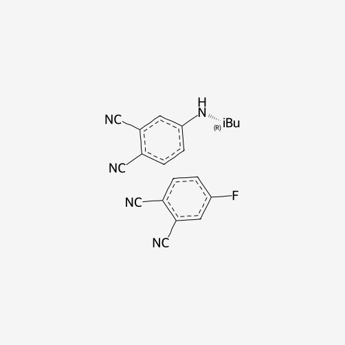 CC[C@@H](C)Nc1ccc(C#N)c(C#N)c1.N#Cc1ccc(F)cc1C#N